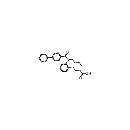 CCCCN(C(=O)c1ccc(-c2ccccc2)cc1)c1ccccc1CCCC(=O)O